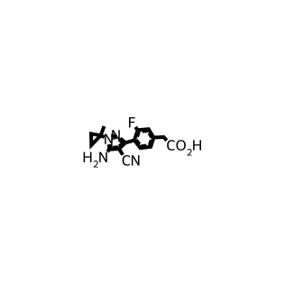 CC1(n2nc(-c3ccc(CC(=O)O)cc3F)c(C#N)c2N)CC1